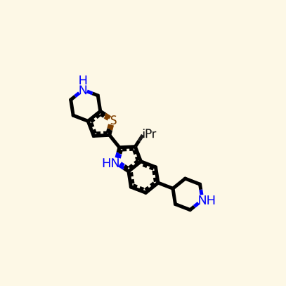 CC(C)c1c(-c2cc3c(s2)CNCC3)[nH]c2ccc(C3CCNCC3)cc12